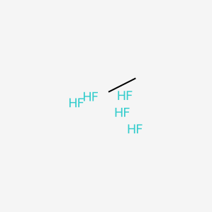 CC.F.F.F.F.F